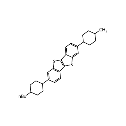 CCCCC1CCC(c2ccc3c(c2)sc2c4ccc(C5CCC(C)CC5)cc4sc32)CC1